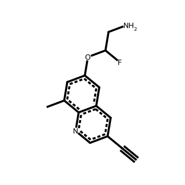 C#Cc1cnc2c(C)cc(OC(F)CN)cc2c1